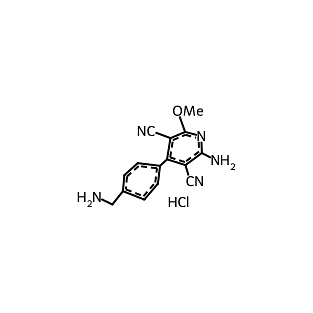 COc1nc(N)c(C#N)c(-c2ccc(CN)cc2)c1C#N.Cl